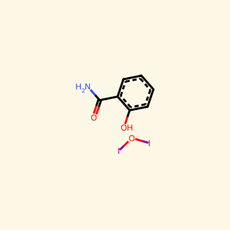 IOI.NC(=O)c1ccccc1O